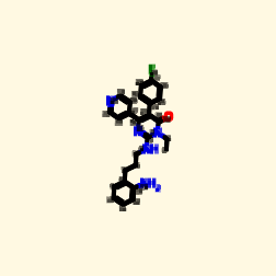 CCn1c(NCCCc2ccccc2N)nc(-c2ccncc2)c(-c2ccc(F)cc2)c1=O